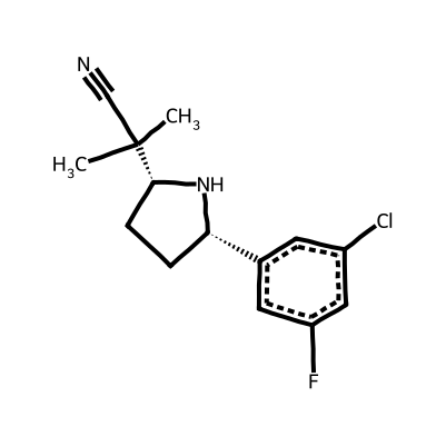 CC(C)(C#N)[C@H]1CC[C@@H](c2cc(F)cc(Cl)c2)N1